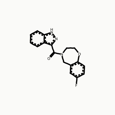 O=C(c1n[nH]c2ccccc12)N1CCOc2ccc(F)cc2C1